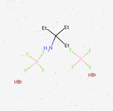 Br.Br.CCC(N)(CC)CC.F[B-](F)(F)F.F[B-](F)(F)F